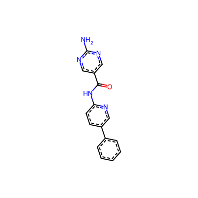 Nc1ncc(C(=O)Nc2ccc(-c3ccccc3)cn2)cn1